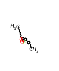 CCCCCCCCCc1cc2ccc(-c3ccc(CCCC)cc3)c(F)c2c(=O)o1